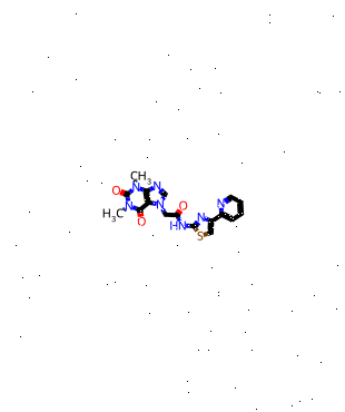 Cn1c(=O)c2c(ncn2CC(=O)Nc2nc(-c3ccccn3)cs2)n(C)c1=O